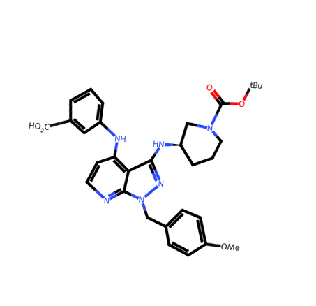 COc1ccc(Cn2nc(N[C@@H]3CCCN(C(=O)OC(C)(C)C)C3)c3c(Nc4cccc(C(=O)O)c4)ccnc32)cc1